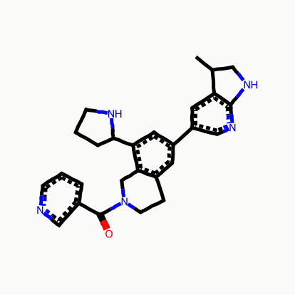 CC1CNc2ncc(-c3cc4c(c(C5CCCN5)c3)CN(C(=O)c3cccnc3)CC4)cc21